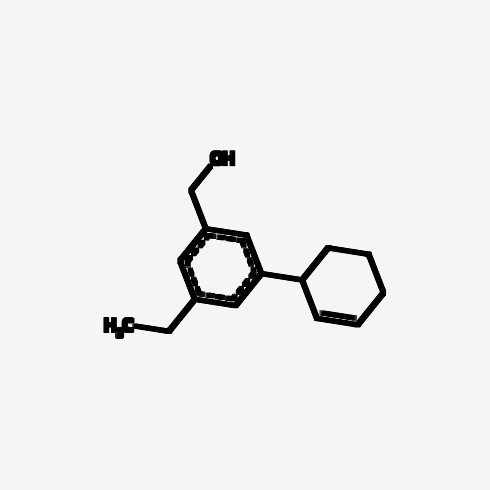 CCc1cc(CO)cc(C2C=CCCC2)c1